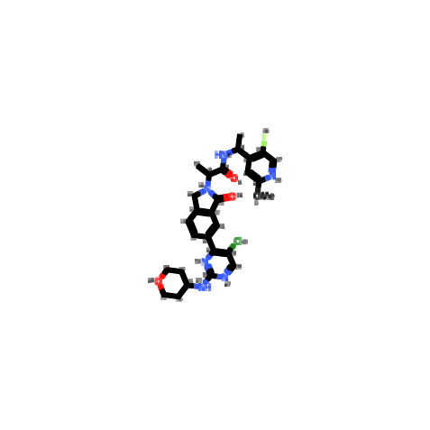 COc1cc(C(C)NC(=O)C(C)N2Cc3ccc(-c4nc(NC5CCOCC5)ncc4Cl)cc3C2=O)c(F)cn1